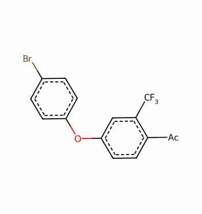 CC(=O)c1ccc(Oc2ccc(Br)cc2)cc1C(F)(F)F